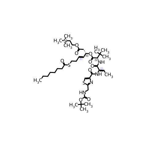 C/C=C(\NC(=O)c1csc(CNC(=O)OC(C)(C)C)n1)C(=O)N[C@H](C(=O)O[C@H](/C=C/CCSC(=O)CCCCCCC)CC(=O)OCC[Si](C)(C)C)C(C)(C)C